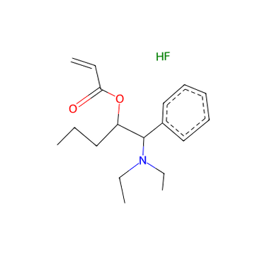 C=CC(=O)OC(CCC)C(c1ccccc1)N(CC)CC.F